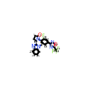 Cn1c([C@@H]2CCC(=O)N2c2ccc(-c3noc(C(F)(F)F)n3)cc2F)nc2ccccc21